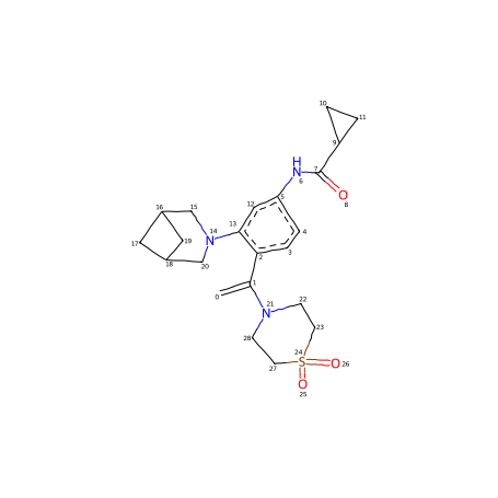 C=C(c1ccc(NC(=O)C2CC2)cc1N1CC2CC(C2)C1)N1CCS(=O)(=O)CC1